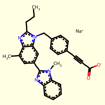 CCCc1nc2c(C)cc(-c3nc4ccccc4n3C)cc2n1Cc1ccc(C#CC(=O)[O-])cc1.[Na+]